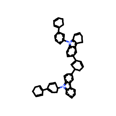 C1=CCCC(c2cccc(-n3c4c(c5cc(C6=CC(c7ccc8c(c7)c7ccccc7n8C7C=CC(C8=CCCC=C8)=CC7)CC=C6)ccc53)CCC=C4)c2)=C1